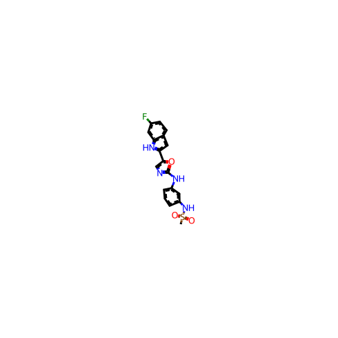 CS(=O)(=O)Nc1cccc(Nc2ncc(-c3cc4ccc(F)cc4[nH]3)o2)c1